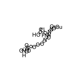 C[C@H](CN1CCC(OCCOCCOc2ccc3c(c2)C(=O)N(C2CCC(=O)NC2=O)C3=O)CC1)Oc1nc(N2CCN(C(=O)OC(C)(C)C)CC2)c2cc(Cl)c(-c3cc(O)cc4ccccc34)c(F)c2n1